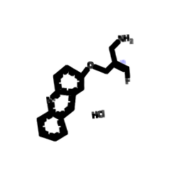 Cl.NC/C(=C/F)COc1ccc2nc3ccccc3cc2c1